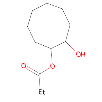 CCC(=O)OC1CCCCCCC1O